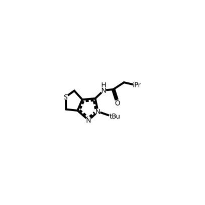 CC(C)CC(=O)Nc1c2c(nn1C(C)(C)C)CSC2